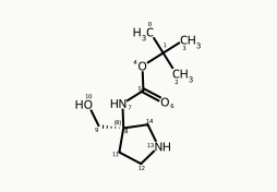 CC(C)(C)OC(=O)N[C@]1(CO)CCNC1